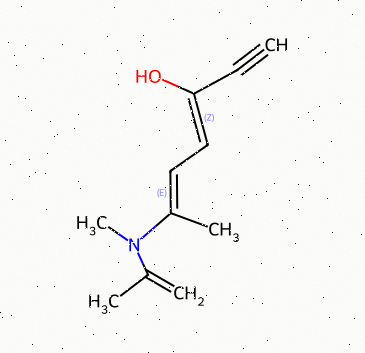 C#C/C(O)=C/C=C(\C)N(C)C(=C)C